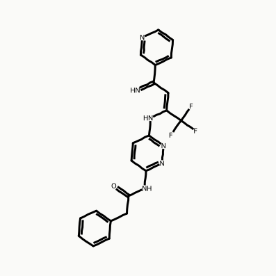 N=C(/C=C(\Nc1ccc(NC(=O)Cc2ccccc2)nn1)C(F)(F)F)c1cccnc1